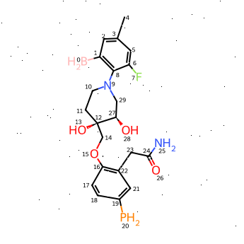 Bc1cc(C)cc(F)c1N1CC[C@@](O)(COc2ccc(P)cc2CC(N)=O)[C@H](O)C1